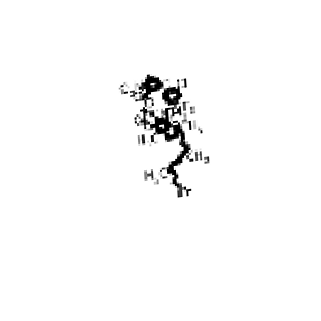 Cc1c(C)c2c(c(C)c1OC(=O)OCOC(=O)c1cc(Oc3ccc(C(F)(F)F)cc3Cl)ccc1[N+](=O)[O-])CCC(C)(CCCC(C)CCCC(C)CCCC(C)C)O2